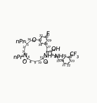 CCCC1CCN(CCC)C(=O)CCCC(=O)NC(C(O)CNCc2cccc(C(F)(F)F)c2)Cc2cc(F)cc(c2)OC1